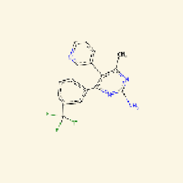 Cc1nc(N)nc(-c2cccc(C(F)(F)F)c2)c1-c1cccnc1